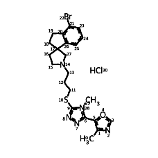 Cc1ncoc1-c1nnc(SCCCN2CCC3(CCc4c(Br)cccc43)C2)n1C.Cl